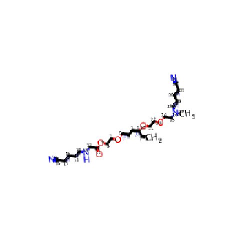 C=C/C(=C\C=C\OCCOC(=O)CN/C=C/C=C/C#N)OCCOCCN(C)/C=C/C=C/C#N